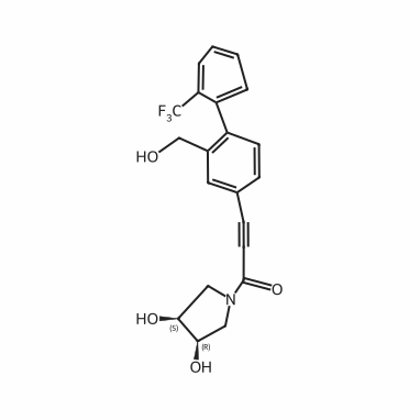 O=C(C#Cc1ccc(-c2ccccc2C(F)(F)F)c(CO)c1)N1C[C@@H](O)[C@@H](O)C1